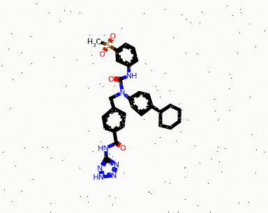 CS(=O)(=O)c1cccc(NC(=O)N(Cc2ccc(C(=O)Nc3nn[nH]n3)cc2)c2ccc(C3CCCCC3)cc2)c1